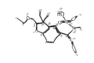 CCOC1Oc2ccc(C(=C=O)N(C)S(=O)(=O)O)cc2C1(C)C